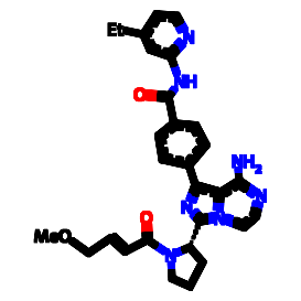 CCc1ccnc(NC(=O)c2ccc(-c3nc([C@@H]4CCCN4C(=O)/C=C/COC)n4ccnc(N)c34)cc2)c1